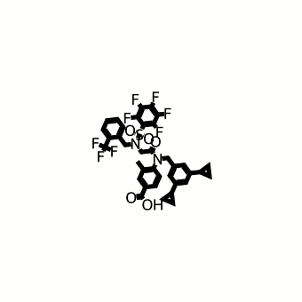 Cc1cc(C(=O)O)ccc1N(Cc1cc(C2CC2)cc(C2CC2)c1)C(=O)CN(Cc1ccccc1C(F)(F)F)S(=O)(=O)c1c(F)c(F)c(F)c(F)c1F